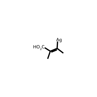 C[C]([Ag])=C(C)C(=O)O